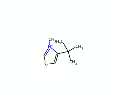 C[n+]1cscc1C(C)(C)C